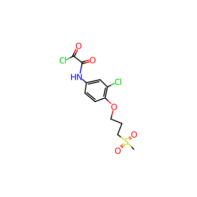 CS(=O)(=O)CCCOc1ccc(NC(=O)C(=O)Cl)cc1Cl